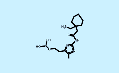 Cc1nc(NC(=O)CC2(CN)CCCCC2)sc1CCON(O)O